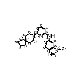 CC(C)n1cnc2cnc(Nc3ccnc(N4CCC5(CCCO5)CC4)n3)cc21